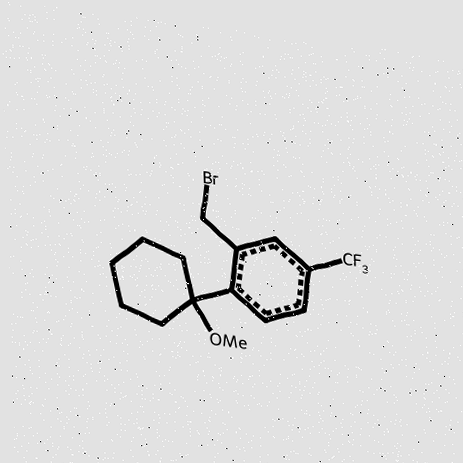 COC1(c2ccc(C(F)(F)F)cc2CBr)CCCCC1